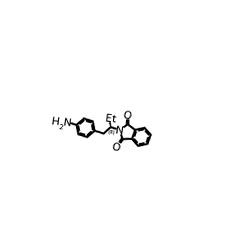 CC[C@H](Cc1ccc(N)cc1)N1C(=O)c2ccccc2C1=O